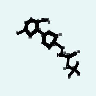 Cc1ccc(N)c(-c2ccc(CNC(=O)OC(C)(C)C)nc2)c1